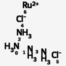 N.N.N.N.[Cl-].[Cl-].[Ru+2]